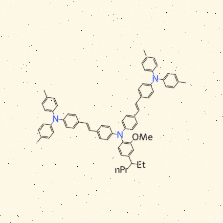 CCCC(CC)c1ccc(N(c2ccc(/C=C/c3ccc(N(c4ccc(C)cc4)c4ccc(C)cc4)cc3)cc2)c2ccc(/C=C/c3ccc(N(c4ccc(C)cc4)c4ccc(C)cc4)cc3)cc2)c(OC)c1